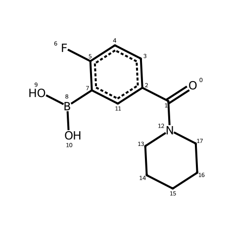 O=C(c1ccc(F)c(B(O)O)c1)N1CCCCC1